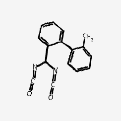 Cc1ccccc1-c1ccccc1C(N=C=O)N=C=O